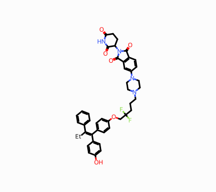 CCC(=C(c1ccc(O)cc1)c1ccc(OCC(F)(F)CCCN2CCN(c3ccc4c(c3)C(=O)N(C3CCC(=O)NC3=O)C4=O)CC2)cc1)c1ccccc1